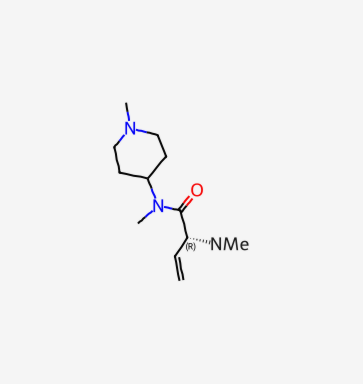 C=C[C@@H](NC)C(=O)N(C)C1CCN(C)CC1